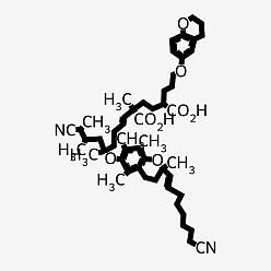 Cc1c(C)c2c(c(C)c1OC(C)(CCC=CC(C)(CCC(CCCOc1ccc3c(c1)CCCO3)C(=O)O)C(=O)O)CC(C)C(C)C#N)CCC(C)(C=CCCCCCCC#N)O2